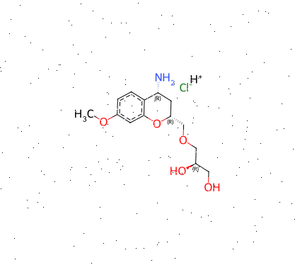 COc1ccc2c(c1)O[C@@H](COC[C@H](O)CO)C[C@H]2N.[Cl-].[H+]